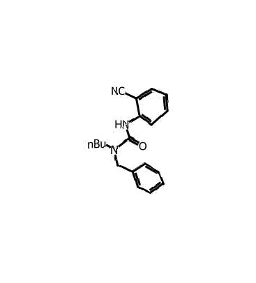 CCCCN(Cc1ccccc1)C(=O)Nc1ccccc1C#N